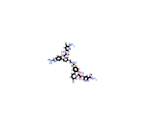 CNc1nc2cc([C@@H]3CC[C@@H](CCNc4nc5cc([C@H]6CC[C@H](C)CN6C(=O)C(=O)Nc6cncc(C(N)=O)c6)ccc5s4)CN3C(=O)C(=O)Nc3cnc(N)c(C)c3)ccc2s1